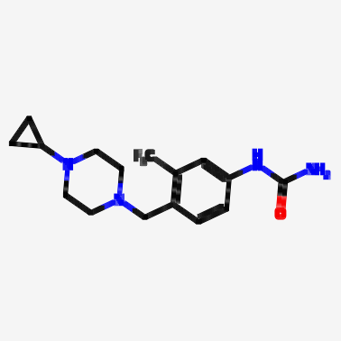 NC(=O)Nc1ccc(CN2CCN(C3CC3)CC2)c(C(F)(F)F)c1